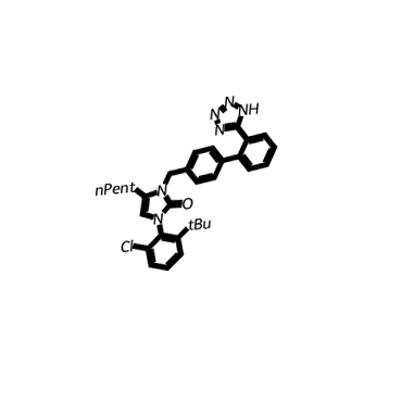 CCCCCc1cn(-c2c(Cl)cccc2C(C)(C)C)c(=O)n1Cc1ccc(-c2ccccc2-c2nnn[nH]2)cc1